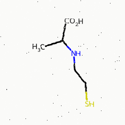 CC(NCCS)C(=O)O